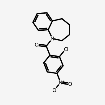 O=C(c1ccc([N+](=O)[O-])cc1Cl)N1CCCCc2ccccc21